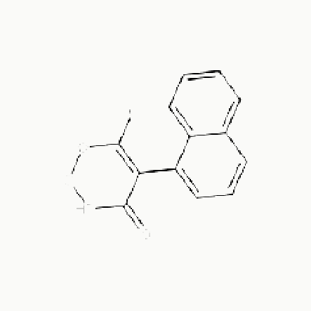 O=C1POOC(Cl)=C1c1cccc2ccccc12